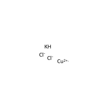 [Cl-].[Cl-].[Cu+2].[KH]